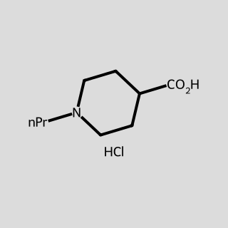 CCCN1CCC(C(=O)O)CC1.Cl